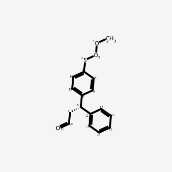 COOSc1ccc([C@@H](CC=O)c2ccccc2)cc1